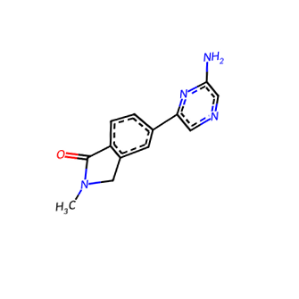 CN1Cc2cc(-c3cncc(N)n3)ccc2C1=O